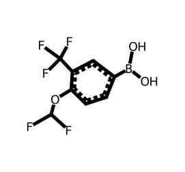 OB(O)c1ccc(OC(F)F)c(C(F)(F)F)c1